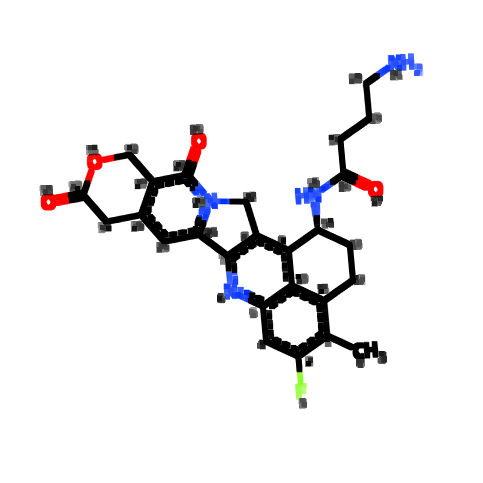 Cc1c(F)cc2nc3c(c4c2c1CC[C@@H]4NC(=O)CCCN)Cn1c-3cc2c(c1=O)COC(=O)C2